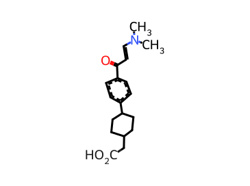 CN(C)C=CC(=O)c1ccc(C2CCC(CC(=O)O)CC2)cc1